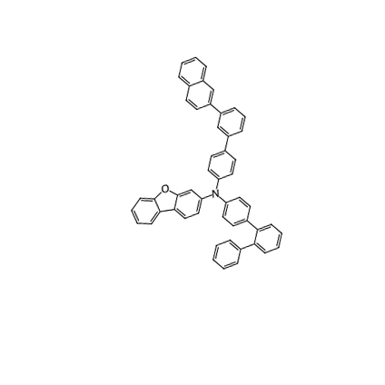 c1ccc(-c2ccccc2-c2ccc(N(c3ccc(-c4cccc(-c5ccc6ccccc6c5)c4)cc3)c3ccc4c(c3)oc3ccccc34)cc2)cc1